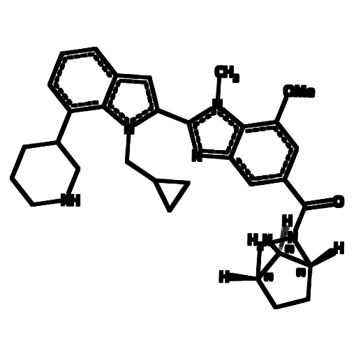 COc1cc(C(=O)N2C[C@H]3CC[C@@H]2[C@@H]3N)cc2nc(-c3cc4cccc(C5CCCNC5)c4n3CC3CC3)n(C)c12